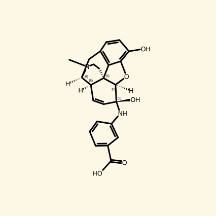 CN1CC[C@]23c4c5ccc(O)c4O[C@H]2[C@](O)(Nc2cccc(C(=O)O)c2)C=C[C@H]3[C@H]1C5